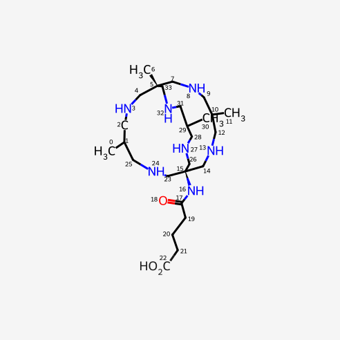 CC1CNC[C@]2(C)CNCC(C)CNC[C@](NC(=O)CCCC(=O)O)(CNC1)CNCC(C)CNC2